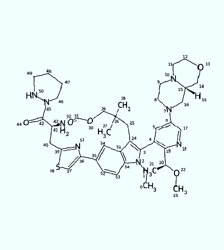 CCn1c(-c2cc(N3CCN4CCOC[C@@H]4C3)cnc2[C@H](C)OC)c(CC(C)(C)COC=O)c2cc(-c3csc(C[C@H](N)C(=O)N4CCCCN4)n3)ccc21